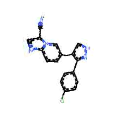 N#Cc1cnc2ccc(-c3c[nH]nc3-c3ccc(Cl)cc3)cn12